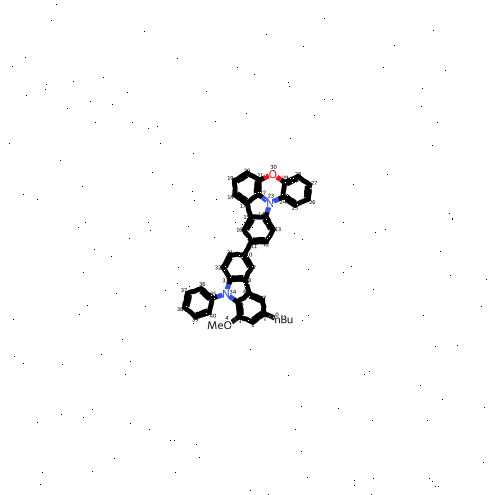 CCCCc1cc(OC)c2c(c1)c1cc(-c3ccc4c(c3)c3cccc5c3n4-c3ccccc3O5)ccc1n2-c1ccccc1